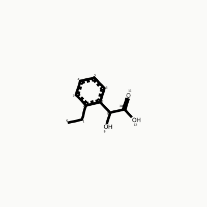 CCc1ccccc1C(O)C(=O)O